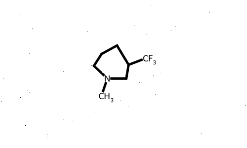 CN1[CH]CCC(C(F)(F)F)C1